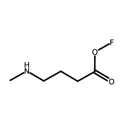 CNCCCC(=O)OF